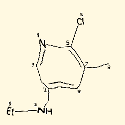 CCNc1cnc(Cl)c(C)c1